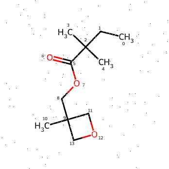 CCC(C)(C)C(=O)OCC1(C)COC1